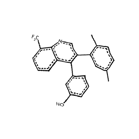 Cc1ccc(C)c(-c2cnc3c(C(F)(F)F)cccc3c2-c2cccc(O)c2)c1